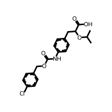 CC(C)OC(Cc1ccc(NC(=O)OCc2ccc(Cl)cc2)cc1)C(=O)O